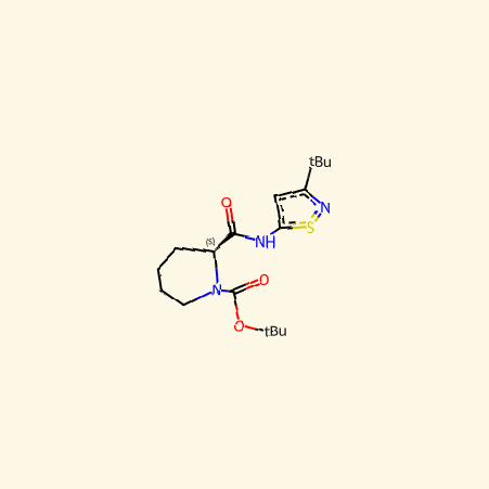 CC(C)(C)OC(=O)N1CCCC[C@H]1C(=O)Nc1cc(C(C)(C)C)ns1